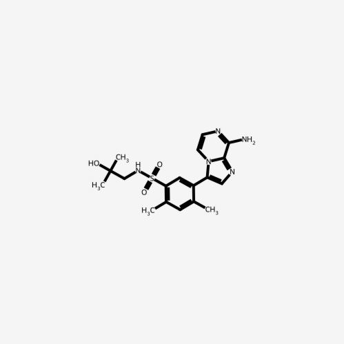 Cc1cc(C)c(S(=O)(=O)NCC(C)(C)O)cc1-c1cnc2c(N)nccn12